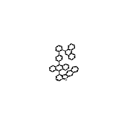 c1ccc(-c2cc3ccccc3c3ccccc23)c(-c2ccc(-c3c4ccccc4c(-c4cccc5sc6cc7ccccc7cc6c45)c4ccccc34)cc2)c1